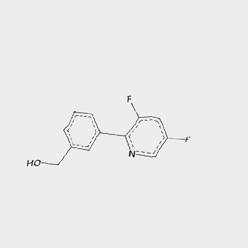 OCc1cccc(-c2ncc(F)cc2F)c1